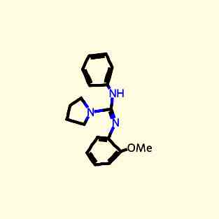 COc1ccccc1N=C(Nc1ccccc1)N1CCCC1